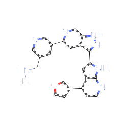 CCNCc1cncc(-c2cc3c(-c4cc5c(-c6ccoc6)ccnc5[nH]4)n[nH]c3cn2)c1